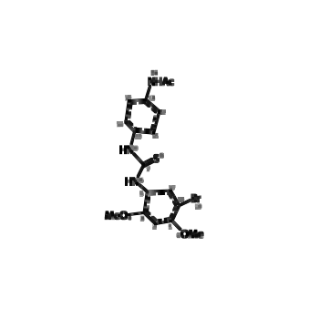 COc1cc(OC)c(NC(=S)Nc2ccc(NC(C)=O)cc2)cc1Br